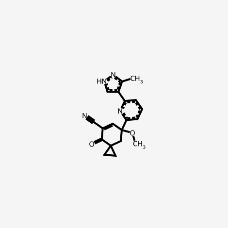 COC1(c2cccc(-c3c[nH]nc3C)n2)C=C(C#N)C(=O)C2(CC2)C1